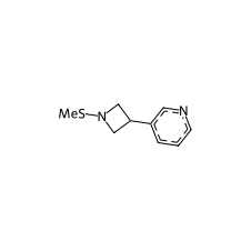 CSN1CC(c2cccnc2)C1